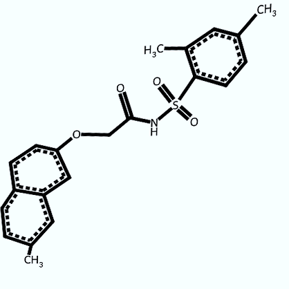 Cc1ccc(S(=O)(=O)NC(=O)COc2ccc3ccc(C)cc3c2)c(C)c1